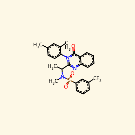 Cc1ccc(-n2c(C(C)N(C)S(=O)(=O)c3cccc(C(F)(F)F)c3)nc3ccccc3c2=O)c(C)c1